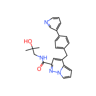 CC(C)(O)CNC(=O)c1cc(Cc2ccc(-c3cccnc3)cc2)c2cccn2n1